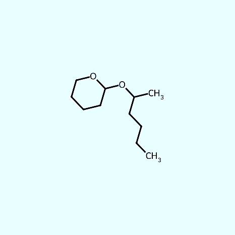 CCCCC(C)OC1CCCCO1